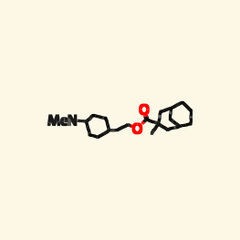 CNC1CCC(CCOC(=O)C2(C)CC3CCCC(C3)C2)CC1